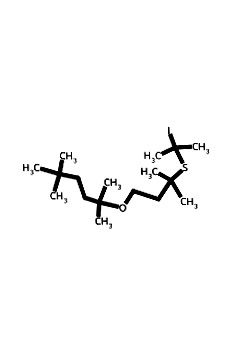 CC(C)(C)CCC(C)(C)OCCC(C)(C)SC(C)(C)I